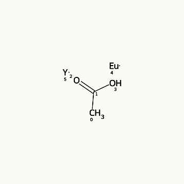 CC(=O)O.[Eu].[Y]